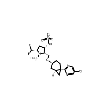 CCS(=O)(=O)N[C@H]1C[C@@H](C(F)F)N(C(=O)O)[C@H]1CO[C@H]1CC[C@@]2(c3ncc(Cl)cn3)C[C@H]2C1